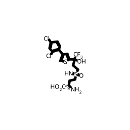 N=S(=O)(CC[C@H](N)C(=O)O)CCC(O)(c1cc(-c2ccc(Cl)cc2Cl)cs1)C(F)(F)F